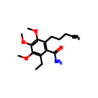 CCc1c(OC)c(OC)c(OC)c(CCC[SiH3])c1C(N)=O